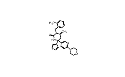 C=C1CC(c2ccc(N3CCOCC3)nc2)(c2ccsc2)NC(=O)C1Sc1ccccc1C